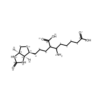 NC(CCCCC(=O)O)C(CCC[C@@H]1SC[C@@H]2NC(=O)N[C@@H]21)C(=O)O